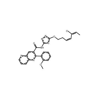 C/C=C(Cl)\C=C/CCOc1nnc(NC(=O)c2cc3ncccc3nc2-c2ccccc2OC)s1